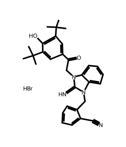 Br.CC(C)(C)c1cc(C(=O)Cn2c(=N)n(Cc3ccccc3C#N)c3ccccc32)cc(C(C)(C)C)c1O